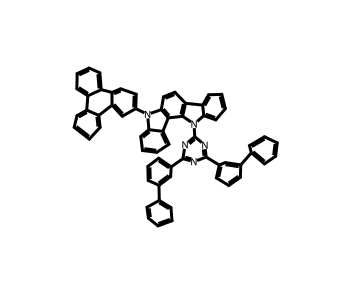 c1ccc(-c2cccc(-c3nc(-c4cccc(-c5ccccc5)c4)nc(-n4c5ccccc5c5ccc6c(c7ccccc7n6-c6ccc7c8ccccc8c8ccccc8c7c6)c54)n3)c2)cc1